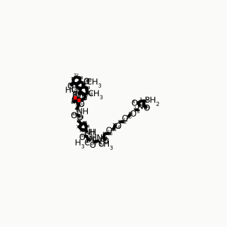 BC1CC(=O)N(CCOCCOCCOCCOCCC(=O)N[C@@H](C)C(=O)N[C@@H](C)C(=O)Nc2ccc(COC(=O)NCC34OC5c6c(C)cc7c(OC)c8c(c(O)c7c6O[C@](OC)(C5O3)[C@@]43CO3)C(=O)CCC8)cc2)C1=O